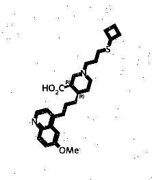 COc1ccc2nccc(CCC[C@@H]3CCN(CCCSC4CCC4)C[C@@H]3C(=O)O)c2c1